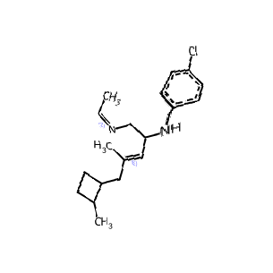 C/C=N\CC(/C=C(\C)CC1CCC1C)Nc1ccc(Cl)cc1